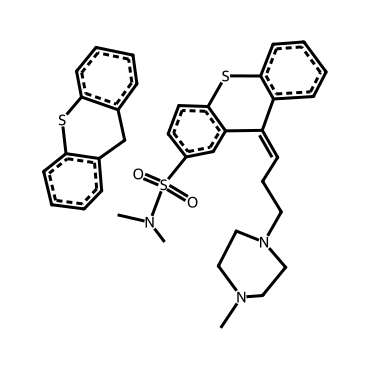 CN1CCN(CC/C=C2/c3ccccc3Sc3ccc(S(=O)(=O)N(C)C)cc32)CC1.c1ccc2c(c1)Cc1ccccc1S2